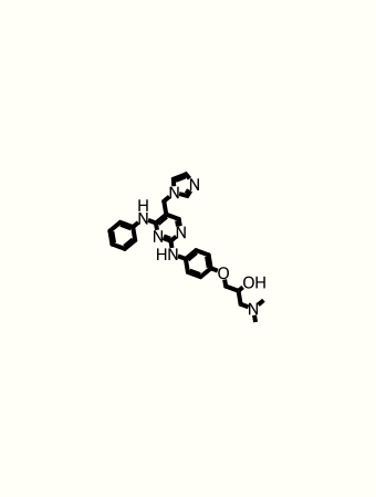 CN(C)CC(O)COc1ccc(Nc2ncc(Cn3ccnc3)c(Nc3ccccc3)n2)cc1